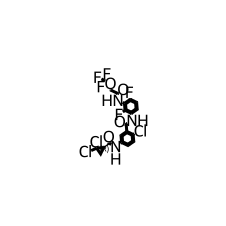 O=C(COC(F)(F)F)Nc1c(F)ccc(NC(=O)c2cc(NC(=O)[C@H]3CC3(Cl)Cl)ccc2Cl)c1F